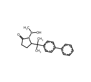 CB(O)N1C(=O)CCC1C(C)(C)c1ccc(-c2ccccc2)cc1